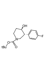 CC(C)(C)OC(=O)N1CC[C@@H](O)[C@H](c2ccc(F)cc2)C1